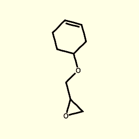 C1=CCC(OCC2CO2)CC1